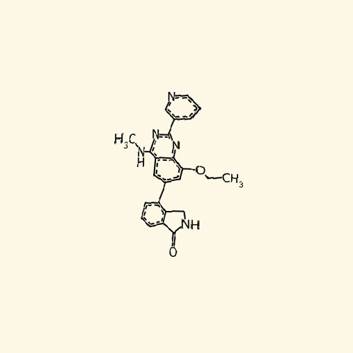 CCOc1cc(-c2cccc3c2CNC3=O)cc2c(NC)nc(-c3cccnc3)nc12